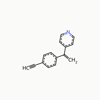 C#Cc1ccc(C(=C)c2ccncc2)cc1